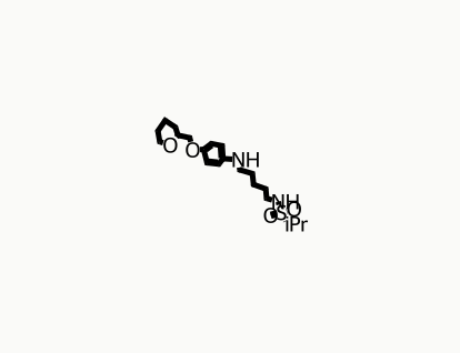 CC(C)S(=O)(=O)NCCCCCNc1ccc(OCC2CCCCO2)cc1